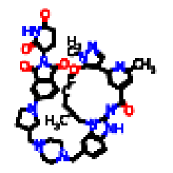 Cc1cc2cc(n1)-c1cnn(C)c1OCCC[C@@H](C)CN1/C(=N/C2=O)Nc2ccc(CN3CCN(C[C@H]4CCN(c5ccc6c(c5)C(=O)N(C5CCC(=O)NC5=O)C6=O)C4)CC3)cc21